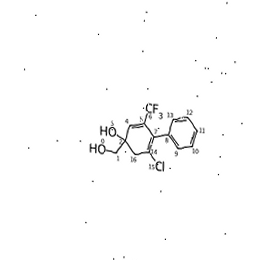 OCC1(O)C=C(C(F)(F)F)C(c2ccccc2)=C(Cl)C1